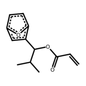 C=CC(=O)OC(c1cc2ccc1o2)C(C)C